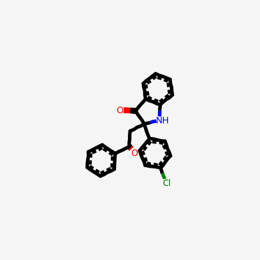 O=C(CC1(c2ccc(Cl)cc2)Nc2ccccc2C1=O)c1ccccc1